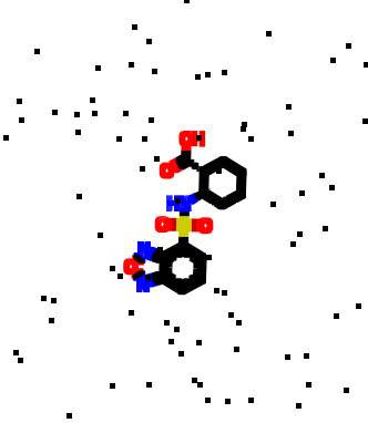 O=C(O)[C@@H]1CCCC[C@H]1NS(=O)(=O)c1cccc2nonc12